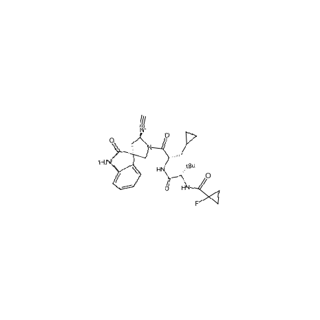 C#[N+][C@@H]1C[C@@]2(CN1C(=O)[C@H](CC1CC1)NC(=O)[C@@H](NC(=O)C1(F)CC1)C(C)(C)C)C(=O)Nc1ccccc12